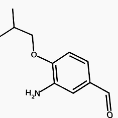 CC(C)COc1ccc(C=O)cc1N